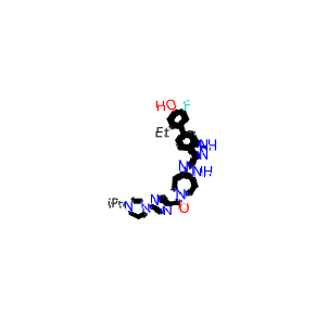 CCc1cc(O)c(F)cc1-c1ccc2c(-c3nc4c([nH]3)CCN(C(=O)c3cnc(N5CCCN(C(C)C)CC5)cn3)CC4)n[nH]c2c1